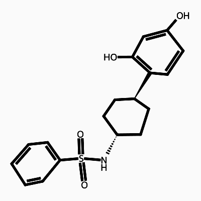 O=S(=O)(N[C@H]1CC[C@H](c2ccc(O)cc2O)CC1)c1ccccc1